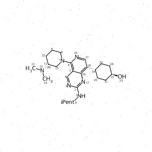 CCCC(C)Nc1ncc2c(N3CCC[C@@H](N(C)C)C3)ncc([C@H]3CC[C@H](O)CC3)c2n1